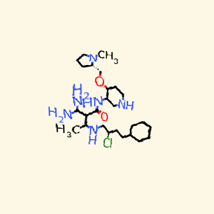 CC(NCC(Cl)CCC1CCCCC1)C(C(=O)NC1CNCCC1OC[C@@H]1CCCN1C)C(N)N